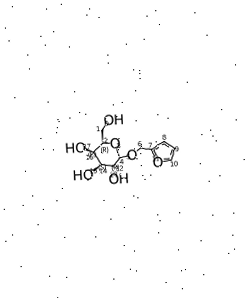 OC[C@H]1OC(OCc2ccco2)[C@H](O)[C@@H](O)[C@H]1O